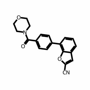 N#Cc1cc2cccc(-c3ccc(C(=O)N4CCOCC4)cc3)c2o1